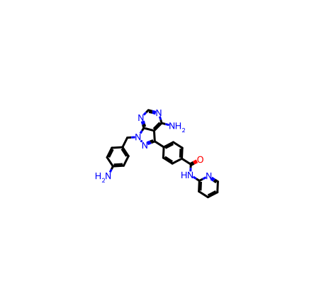 Nc1ccc(Cn2nc(-c3ccc(C(=O)Nc4ccccn4)cc3)c3c(N)ncnc32)cc1